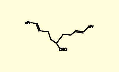 CCCC=CCCC(C=O)CCC=CCCC